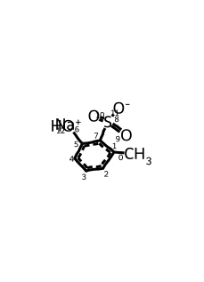 Cc1cccc(O)c1S(=O)(=O)[O-].[Na+]